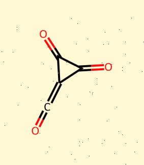 O=C=C1C(=O)C1=O